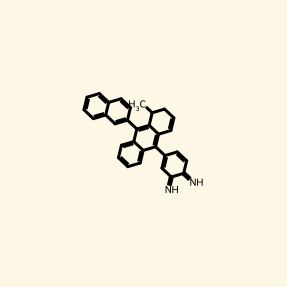 CC1CC=Cc2c1c(-c1ccc3ccccc3c1)c1ccccc1c2C1=CC(=N)C(=N)C=C1